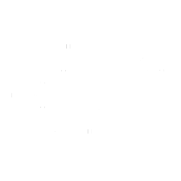 CC(=O)OCC1OC(OCCCCC(=O)O)C(C)C(C)C1OC(C)=O